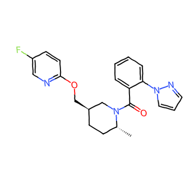 C[C@@H]1CC[C@@H](COc2ccc(F)cn2)CN1C(=O)c1ccccc1-n1cccn1